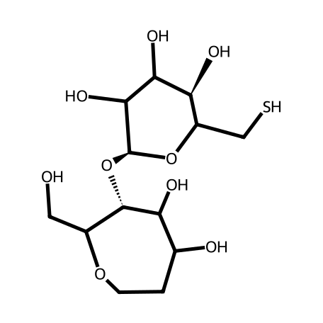 OCC1OCCC(O)C(O)[C@H]1O[C@@H]1OC(CS)[C@H](O)C(O)C1O